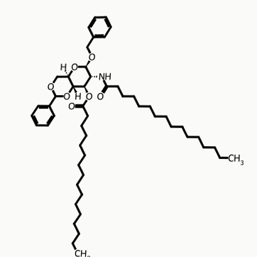 CCCCCCCCCCCCCCCC(=O)N[C@H]1[C@H](OCc2ccccc2)O[C@@H]2COC(c3ccccc3)O[C@H]2[C@@H]1OC(=O)CCCCCCCCCCCCCCC